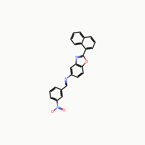 O=[N+]([O-])c1cccc(/C=N/c2ccc3oc(-c4cccc5ccccc45)nc3c2)c1